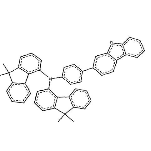 CC1(C)c2ccccc2-c2c(N(c3ccc(-c4ccc5c(c4)oc4ccccc45)cc3)c3cccc4c3-c3ccccc3C4(C)C)cccc21